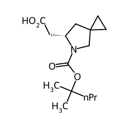 CCCC(C)(C)OC(=O)N1CC2(CC2)C[C@H]1CC(=O)O